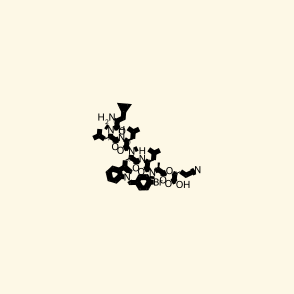 CC(C)C[C@H](NC(=O)[C@H](Cc1cn(Cc2ccc(Br)cc2)c2ccccc12)N(C)C(=O)[C@H](CC(C)C)NC(=O)[C@H](CC(C)C)N(C)C(=O)[C@@H](N)CC1CC1)C(=O)N(C)[C@@H](C)C(=O)O[C@H](CCC#N)C(=O)O